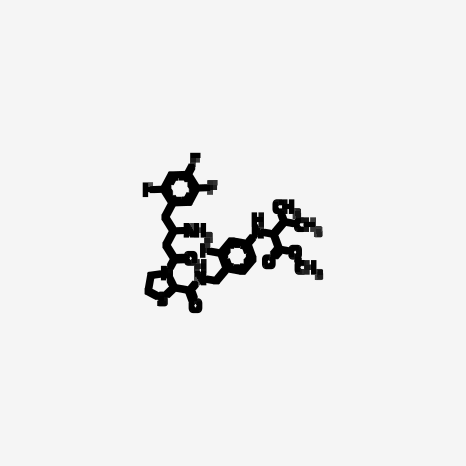 COC(=O)C(Nc1ccc(CNC(=O)C2SCCN2C(=O)CC(N)Cc2cc(F)c(F)cc2F)c(F)c1)C(C)C